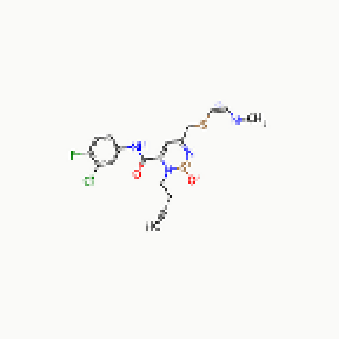 C#CCCN1C(C(=O)Nc2ccc(F)c(Cl)c2)=CC(CS/C=C\N=C)=N[S+]1[O-]